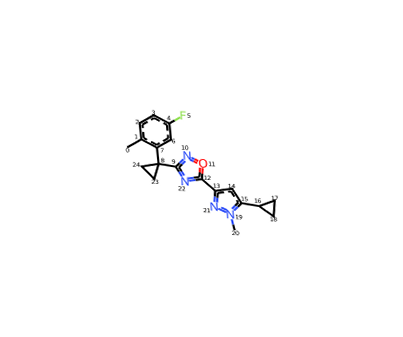 Cc1ccc(F)cc1C1(c2noc(-c3cc(C4CC4)n(C)n3)n2)CC1